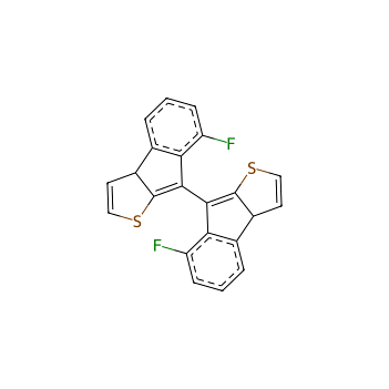 Fc1cccc2c1C(C1=C3SC=CC3c3cccc(F)c31)=C1SC=CC12